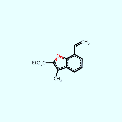 C=Cc1cccc2c(C)c(C(=O)OCC)oc12